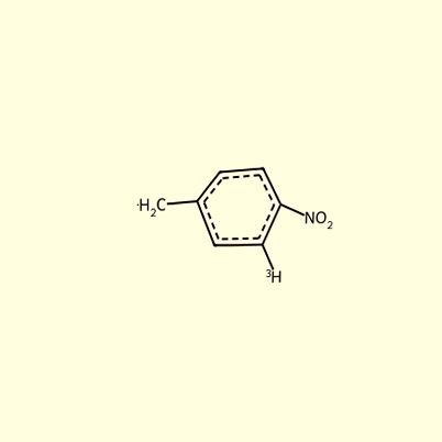 [3H]c1cc([CH2])ccc1[N+](=O)[O-]